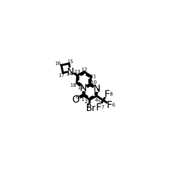 O=c1c(Br)c(C(F)(F)F)nc2ccc(N3CCC3)cn12